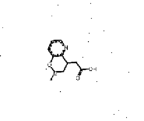 C[C@@H]1CC(CC(=O)O)c2ncccc2O1